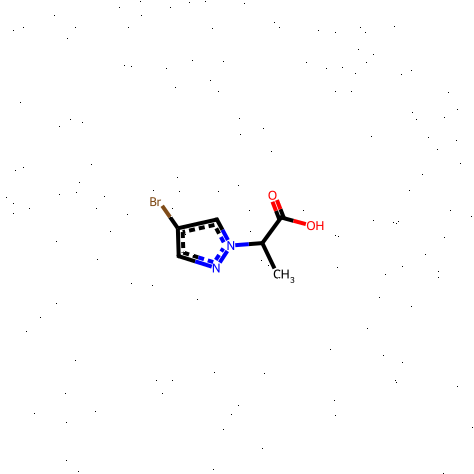 CC(C(=O)O)n1cc(Br)cn1